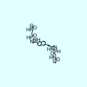 COC(=O)NCCC(=O)Pc1ncc(-c2ccc3cc(C#Cc4cnc(PC(=O)CNC(=O)OC)[nH]4)ccc3c2)[nH]1